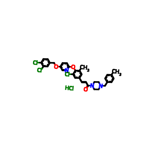 Cc1ccc(CN2CCN(C(=O)/C=C/c3cc(C)c(Oc4ccc(OCc5ccc(Cl)c(Cl)c5)cn4)c(Cl)c3)CC2)cc1.Cl